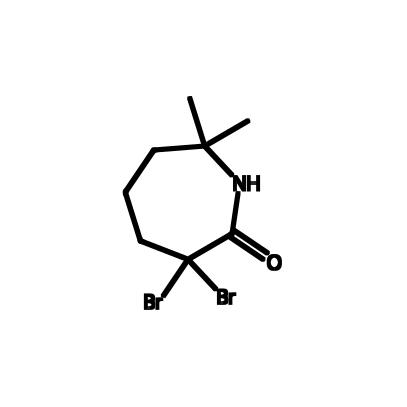 CC1(C)CCCC(Br)(Br)C(=O)N1